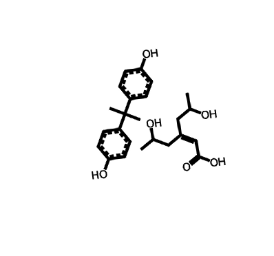 CC(C)(c1ccc(O)cc1)c1ccc(O)cc1.CC(O)CC(=CC(=O)O)CC(C)O